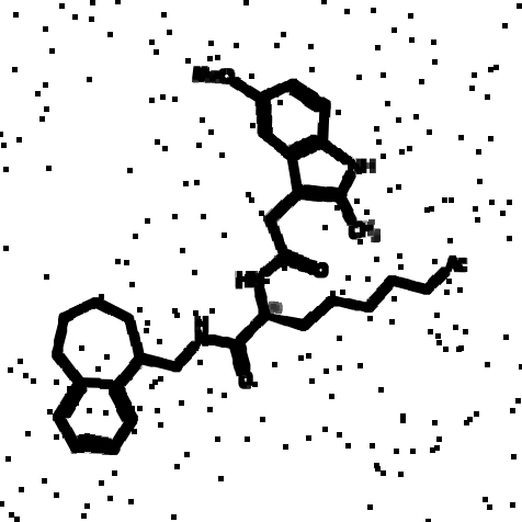 COc1ccc2[nH]c(C)c(CC(=O)N[C@@H](CCCCCC(C)=O)C(=O)NCC3CCCCc4ccccc43)c2c1